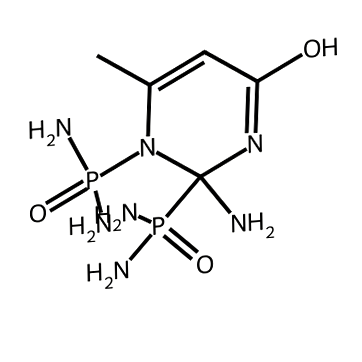 CC1=CC(O)=NC(N)(P(N)(N)=O)N1P(N)(N)=O